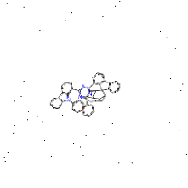 c1ccc(-c2nc(-c3cccc4c3C3(c5ccccc5-4)C4CC5CC(C4)CC3C5)nc(-c3cccc4c5ccccc5n(-c5ccccc5)c34)n2)cc1